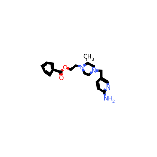 C[C@@H]1CN(Cc2ccc(N)nc2)CCN1CCOC(=O)c1ccccc1